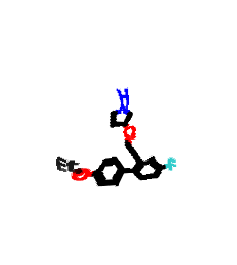 CCOc1ccc(-c2ccc(F)cc2COC2CCNC2)cc1